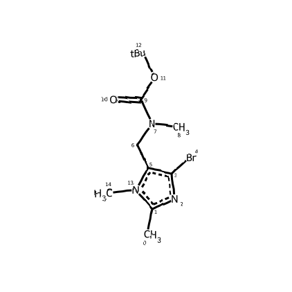 Cc1nc(Br)c(CN(C)C(=O)OC(C)(C)C)n1C